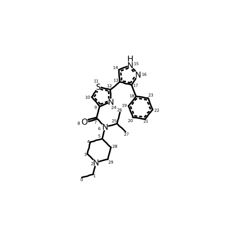 CCN1CCC(N(C(=O)c2csc(-c3c[nH]nc3-c3ccccc3)n2)C(C)C)CC1